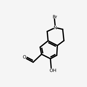 O=Cc1cc2c(cc1O)CCN(Br)C2